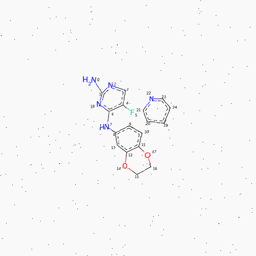 Nc1ncc(F)c(Nc2ccc3c(c2)OCCO3)n1.c1ccncc1